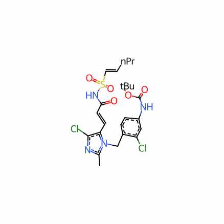 CCCC=CS(=O)(=O)NC(=O)C=Cc1c(Cl)nc(C)n1Cc1ccc(NC(=O)OC(C)(C)C)cc1Cl